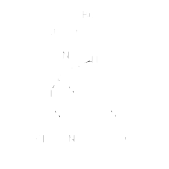 CC(C)(C)OC(=O)N1C[C@@H]2C[C@H]1CN2c1nc(Cl)nc2c(F)c(Cl)ncc12